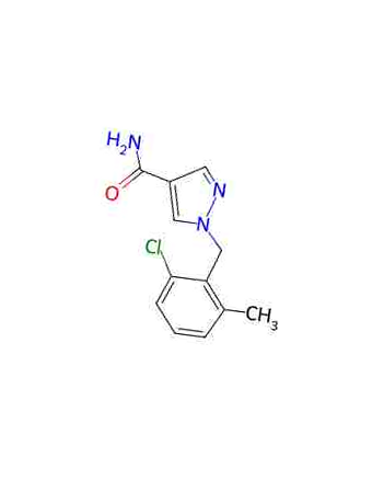 Cc1cccc(Cl)c1Cn1cc(C(N)=O)cn1